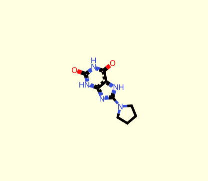 O=c1[nH]c(=O)c2[nH]c(N3CCCC3)nc2[nH]1